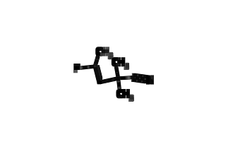 C/C(F)=C\C(C)(C)C#N